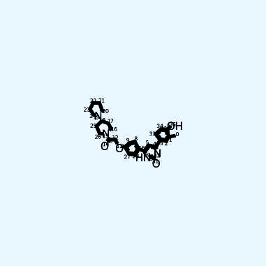 Cc1cc(-c2cc(-c3ccc(OCC(=O)N4CCC(N5CCCCC5)CC4)cc3)[nH]c(=O)n2)ccc1O